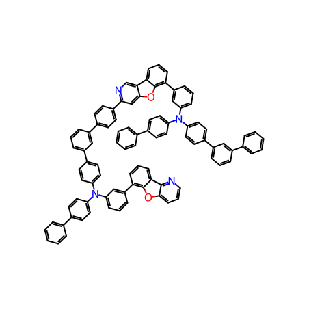 c1ccc(-c2ccc(N(c3ccc(-c4cccc(-c5ccccc5)c4)cc3)c3cccc(-c4cccc5c4oc4cc(-c6ccc(-c7cccc(-c8ccc(N(c9ccc(-c%10ccccc%10)cc9)c9cccc(-c%10cccc%11c%10oc%10cccnc%10%11)c9)cc8)c7)cc6)ncc45)c3)cc2)cc1